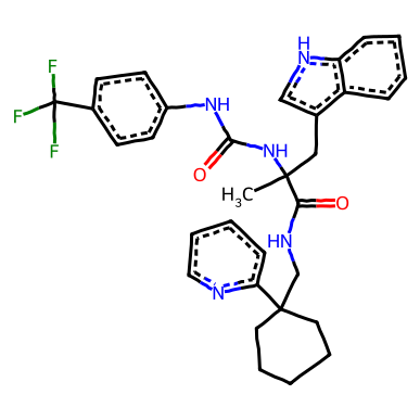 CC(Cc1c[nH]c2ccccc12)(NC(=O)Nc1ccc(C(F)(F)F)cc1)C(=O)NCC1(c2ccccn2)CCCCC1